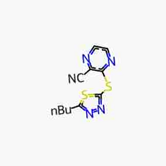 CCCCc1nnc(Sc2nccnc2C#N)s1